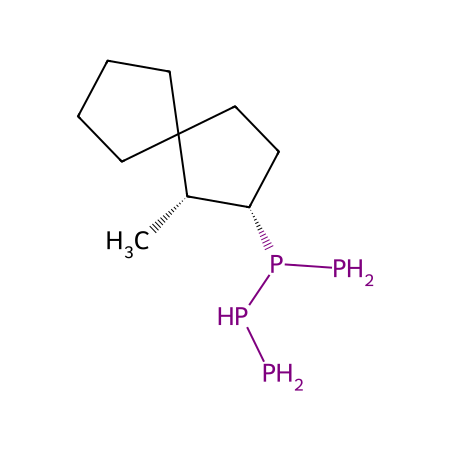 C[C@H]1[C@@H](P(P)PP)CCC12CCCC2